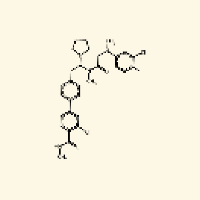 CNC(=O)c1ccc(-c2ccc(CC(N3CCCC3)N(C)C(=O)CN(C)c3ccc(Cl)c(Cl)c3)cc2)cc1Cl